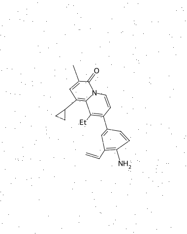 C=Cc1cc(-c2ccn3c(=O)c(C)cc(C4CC4)c3c2CC)ccc1N